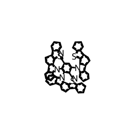 N#Cc1cc(-n2c3ccccc3c3ccc4c5ccccc5sc4c32)c(C#N)c(-n2c3ccccc3c3ccc4c5ccccc5sc4c32)c1-n1c2ccccc2c2ccc3c4ccccc4sc3c21